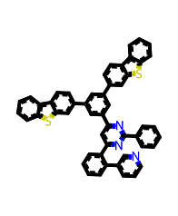 c1ccc(-c2nc(-c3cc(-c4ccc5c(c4)sc4ccccc45)cc(-c4ccc5c(c4)sc4ccccc45)c3)cc(-c3ccccc3-c3cccnc3)n2)cc1